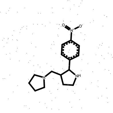 O=[N+]([O-])c1ccc(C2NCCC2CN2CCCC2)cc1